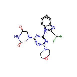 O=C1CN(c2nc(N3CCOCC3)nc(-n3c(C(F)F)nc4ccccc43)n2)CC(=O)N1